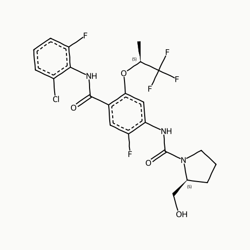 C[C@H](Oc1cc(NC(=O)N2CCC[C@H]2CO)c(F)cc1C(=O)Nc1c(F)cccc1Cl)C(F)(F)F